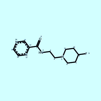 O=C(NCCN1CCC(F)CC1)c1cnccn1